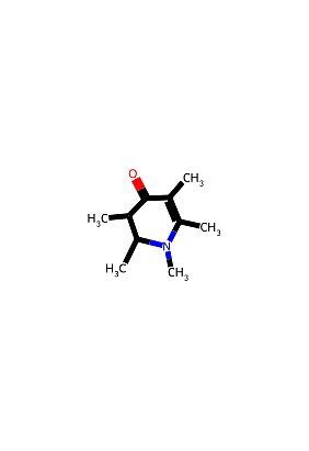 CC1=C(C)N(C)C(C)C(C)C1=O